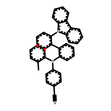 Cc1ccccc1N(c1ccc(C#N)cc1)c1ccccc1-c1ccccc1-n1c2ccccc2c2ccccc21